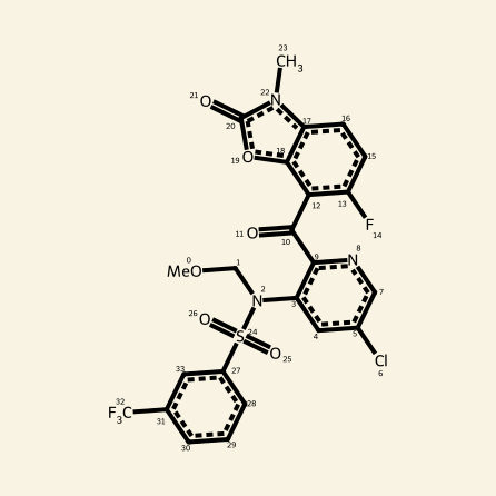 COCN(c1cc(Cl)cnc1C(=O)c1c(F)ccc2c1oc(=O)n2C)S(=O)(=O)c1cccc(C(F)(F)F)c1